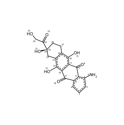 Nc1cccc2c1C(=O)c1c(O)c3c(c(O)c1C2=O)C[C@](O)(C(=O)CO)C[CH]3